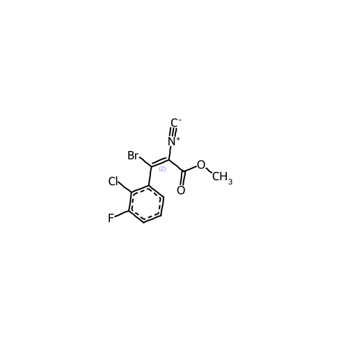 [C-]#[N+]/C(C(=O)OC)=C(\Br)c1cccc(F)c1Cl